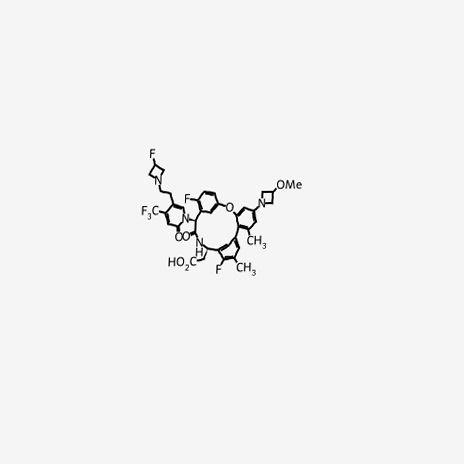 COC1CN(c2cc(C)c3c(c2)Oc2ccc(F)c(c2)[C@H](n2cc(CCN4CC(F)C4)c(C(F)(F)F)cc2=O)C(=O)N[C@H](CC(=O)O)c2cc-3cc(C)c2F)C1